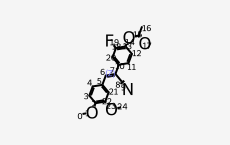 COc1ccc(/C=C(\C#N)c2ccc(OC(C)=O)c(F)c2)cc1OC